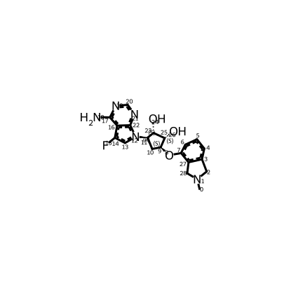 CN1Cc2cccc(O[C@H]3C[C@@H](n4cc(F)c5c(N)ncnc54)[C@H](O)[C@@H]3O)c2C1